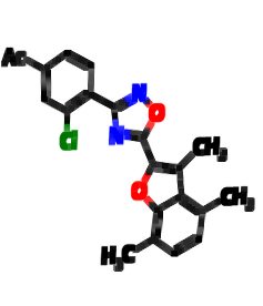 CC(=O)c1ccc(-c2noc(-c3oc4c(C)ccc(C)c4c3C)n2)c(Cl)c1